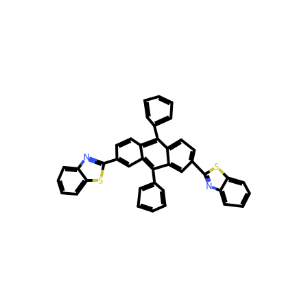 c1ccc(-c2c3ccc(-c4nc5ccccc5s4)cc3c(-c3ccccc3)c3cc(-c4nc5ccccc5s4)ccc23)cc1